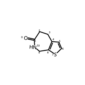 O=C1CCc2ccsc2CN1